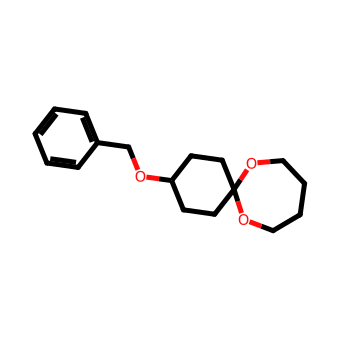 c1ccc(COC2CCC3(CC2)OCCCCO3)cc1